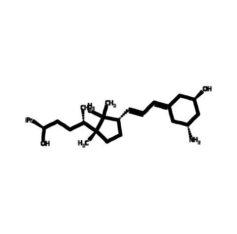 CC(C)[C@H](O)CC[C@H](C)[C@@]1(C)CC[C@@H](/C=C/C=C2\C[C@@H](N)C[C@H](O)C2)C1(C)C